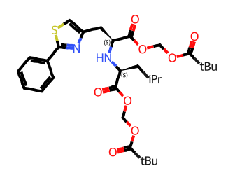 CC(C)C[C@H](N[C@@H](Cc1csc(-c2ccccc2)n1)C(=O)OCOC(=O)C(C)(C)C)C(=O)OCOC(=O)C(C)(C)C